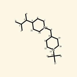 CC(C)C(C)C1CCN(CC2CCN(C(C)(C)C)CC2)CC1